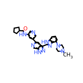 CN1CCN(c2cccc3[nH]c(-c4n[nH]c5cnc(-c6cncc(NC(=O)C7CCCC7)c6)cc45)nc23)CC1